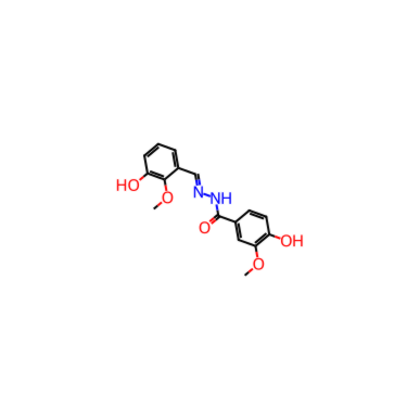 COc1cc(C(=O)NN=Cc2cccc(O)c2OC)ccc1O